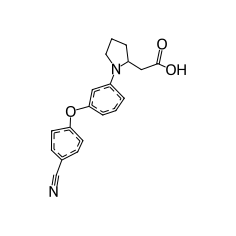 N#Cc1ccc(Oc2cccc(N3CCCC3CC(=O)O)c2)cc1